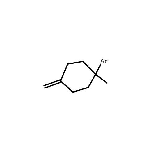 C=C1CCC(C)(C(C)=O)CC1